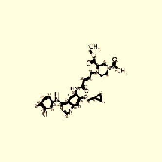 CCOC(=O)C1CN(C(C)=O)CCN1C/C=C/C(=O)Nc1cc2c(Nc3ccc(F)c(Cl)c3)ncnc2cc1OCC1CC1